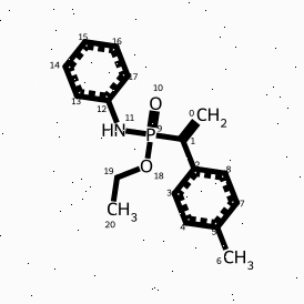 C=C(c1ccc(C)cc1)P(=O)(Nc1ccccc1)OCC